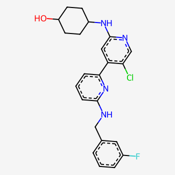 OC1CCC(Nc2cc(-c3cccc(NCc4cccc(F)c4)n3)c(Cl)cn2)CC1